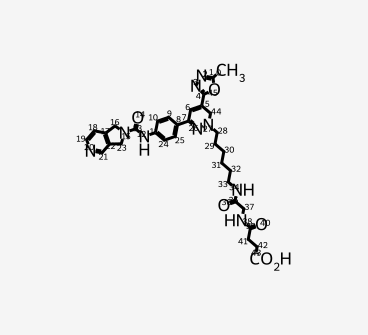 Cc1nnc(C2=CC(c3ccc(NC(=O)N4Cc5ccncc5C4)cc3)=NN(CCCCCCNC(=O)CNC(=O)CCC(=O)O)C2)o1